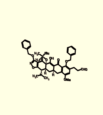 COc1cc(CCC=O)c(OCc2ccccc2)c2c1C[C@H]1C[C@H]3[C@H](N(C)C)c4onc(OCc5ccccc5)c4C(=O)[C@@]3(O[Si](C)(C)C(C)(C)C)C(O)=C1C2=O